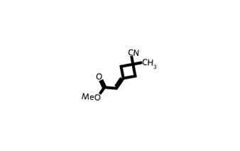 COC(=O)C=C1CC(C)(C#N)C1